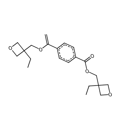 C=C(OCC1(CC)COC1)c1ccc(C(=O)OCC2(CC)COC2)cc1